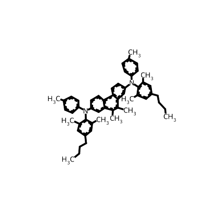 CCCCc1cc(C)c(N(c2ccc(C)cc2)c2ccc3c(c2)c(C)c(C)c2cc(N(c4ccc(C)cc4)c4c(C)cc(CCCC)cc4C)ccc23)c(C)c1